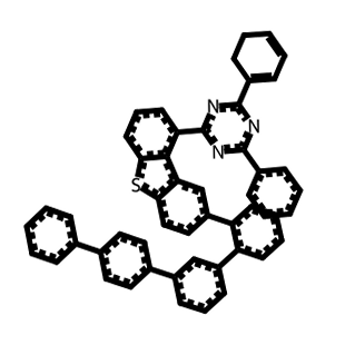 C1=CCCC(c2nc(-c3ccccc3)nc(-c3cccc4sc5ccc(-c6ccccc6-c6cccc(-c7ccc(-c8ccccc8)cc7)c6)cc5c34)n2)=C1